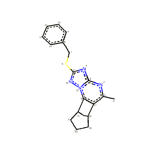 Cc1nc2nc(SCc3ccccc3)nn2c2c1C1CCCC21